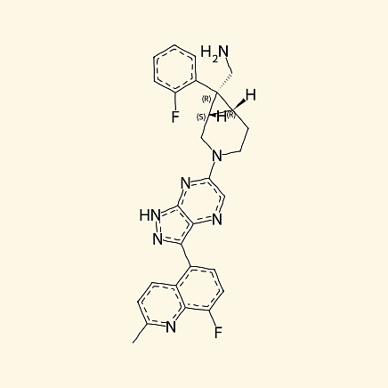 Cc1ccc2c(-c3n[nH]c4nc(N5CC[C@@H]6[C@H](C5)[C@@]6(CN)c5ccccc5F)cnc34)ccc(F)c2n1